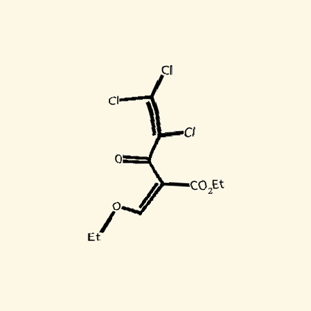 CCOC=C(C(=O)OCC)C(=O)C(Cl)=C(Cl)Cl